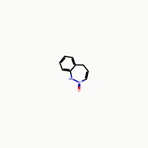 O=[N+]1C=CCc2ccccc2N1